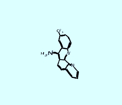 Nc1c2cc(C(F)(F)F)ccc2nc2c1ccc1cccnc12